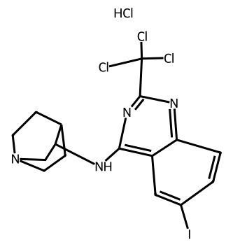 Cl.ClC(Cl)(Cl)c1nc(NC2CN3CCC2CC3)c2cc(I)ccc2n1